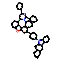 c1ccc(-c2cc(-c3cccc4oc5cc(-c6ccc(-n7c8ccccc8c8cc9ccccc9cc87)cc6)c6ccccc6c5c34)nc(-c3ccccc3)n2)cc1